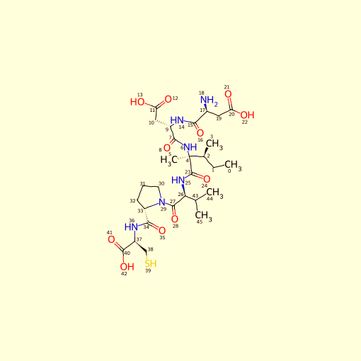 CC[C@H](C)[C@](C)(NC(=O)[C@H](CC(=O)O)NC(=O)[C@@H](N)CC(=O)O)C(=O)N[C@H](C(=O)N1CCC[C@H]1C(=O)N[C@@H](CS)C(=O)O)C(C)C